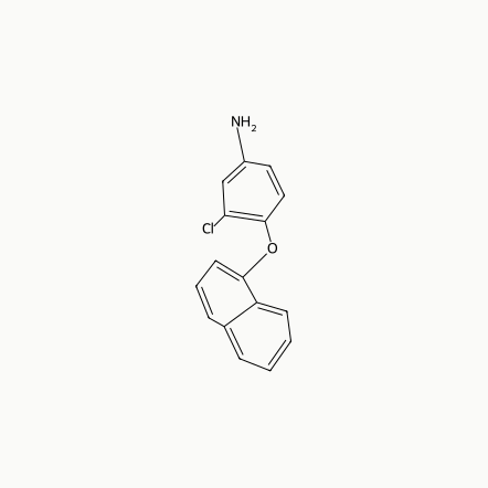 Nc1ccc(Oc2cccc3ccccc23)c(Cl)c1